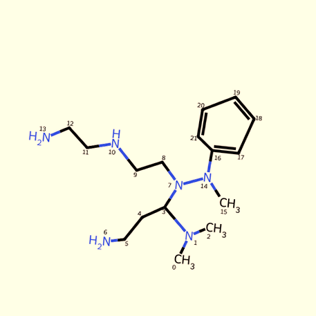 CN(C)C(CCN)N(CCNCCN)N(C)c1ccccc1